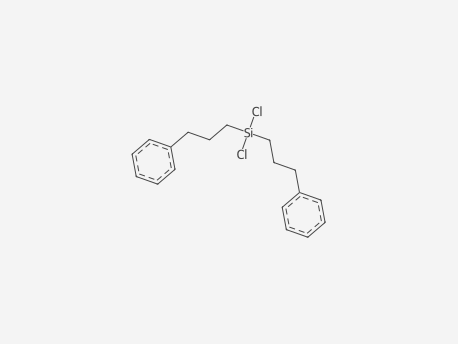 Cl[Si](Cl)(CCCc1ccccc1)CCCc1ccccc1